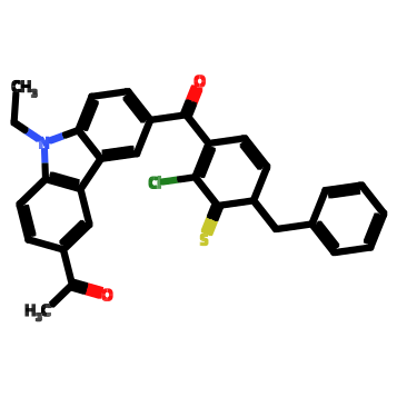 CCn1c2ccc(C(C)=O)cc2c2cc(C(=O)C3=C(Cl)C(=S)C(Cc4ccccc4)C=C3)ccc21